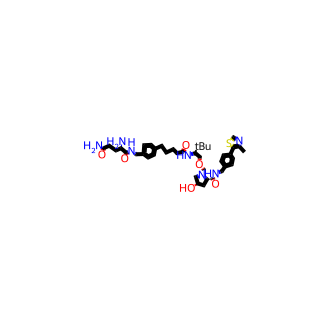 Cc1ncsc1-c1ccc(CNC(=O)[C@@H]2C[C@@H](O)CN2COC[C@@H](NC(=O)CCCCc2ccc(CNC(=O)[C@@H](N)CCC(N)=O)cc2)C(C)(C)C)cc1